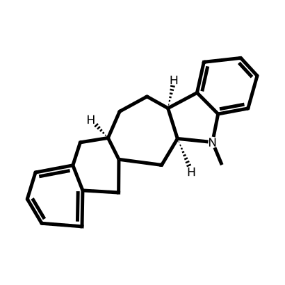 CN1c2ccccc2[C@@H]2CC[C@@H]3Cc4ccccc4CC3C[C@@H]21